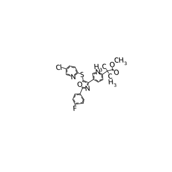 COC(=O)C(C)(C)c1ccc(-c2nc(-c3ccc(F)cc3)oc2Sc2ccc(Cl)cn2)cn1